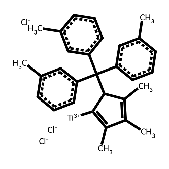 CC1=C(C)C(C(c2cccc(C)c2)(c2cccc(C)c2)c2cccc(C)c2)[C]([Ti+3])=C1C.[Cl-].[Cl-].[Cl-]